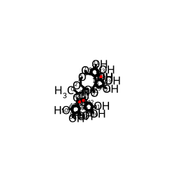 C[C@@H]1OC2COC(=O)c3cc(O)c(O)c(O)c3-c3c(cc(O)c(O)c3O)C(=O)O[C@H]2[C@H](OC(=O)c2cc(O)c(O)c(O)c2)C1OC(=O)c1cc(O)c(O)c(O)c1